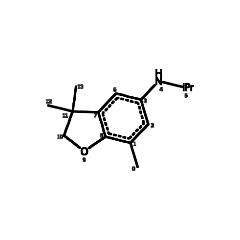 Cc1cc(NC(C)C)cc2c1OCC2(C)C